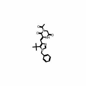 CC(=O)N1CC(=O)NC(=Cc2ncn(Cc3ccccc3)c2C(C)(C)C)C1=O